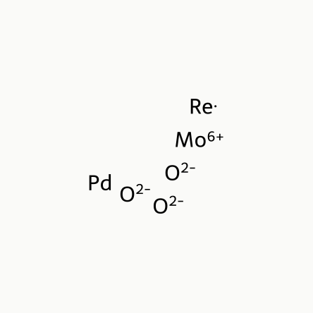 [Mo+6].[O-2].[O-2].[O-2].[Pd].[Re]